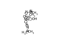 Cc1c(-c2cc(C(=O)Nc3nc4ccc(N5CCN(CCN(C)C)CC5)cc4n3[C@H]3CC[C@@H](O)CC3)ccn2)cnn1C